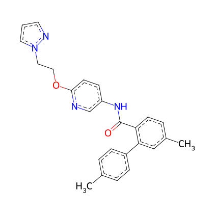 Cc1ccc(-c2cc(C)ccc2C(=O)Nc2ccc(OCCn3cccn3)nc2)cc1